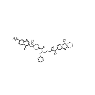 Nc1ccc2c(=O)n(CC3(O)CCN(C(=O)C(CCCNC(=O)c4ccc5c(Cl)c6c(nc5c4)CCCC6)Cc4ccccc4)CC3)cnc2c1